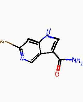 NC(=O)c1c[nH]c2cc(Br)ncc12